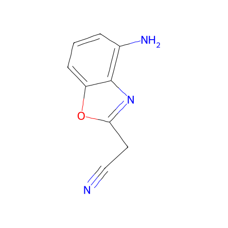 N#CCc1nc2c(N)cccc2o1